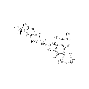 NC(CNc1nc(-c2cccc(F)c2F)c(-c2ccc3cnccc3c2)s1)Cc1ccc(C(F)(F)F)cc1